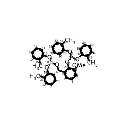 COc1cccc(COP(Oc2ccccc2C)Oc2ccccc2C)c1OP(Oc1ccccc1C)Oc1ccccc1C